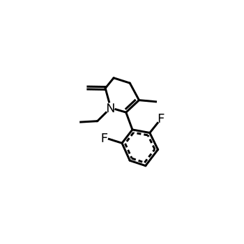 C=C1CCC(C)=C(c2c(F)cccc2F)N1CC